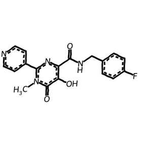 Cn1c(-c2ccncc2)nc(C(=O)NCc2ccc(F)cc2)c(O)c1=O